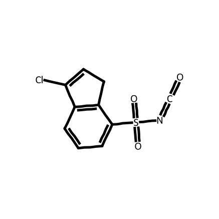 O=C=NS(=O)(=O)c1cccc2c1CC=C2Cl